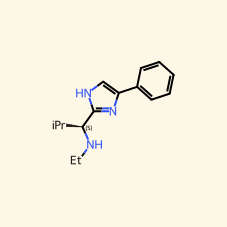 CCN[C@H](c1nc(-c2ccccc2)c[nH]1)C(C)C